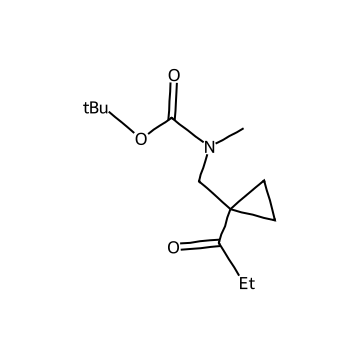 CCC(=O)C1(CN(C)C(=O)OC(C)(C)C)CC1